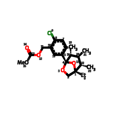 CC[C@@]12CO[C@@](c3ccc(Cl)c(COC(=O)OC)c3)(O1)[C@H](C)[C@@H](C)[C@@H]2C